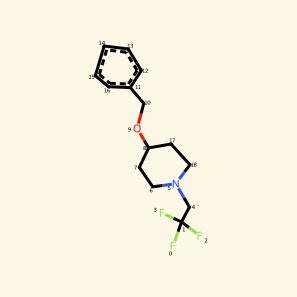 FC(F)(F)CN1CCC(OCc2ccccc2)CC1